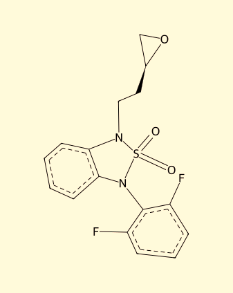 O=S1(=O)N(CC[C@H]2CO2)c2ccccc2N1c1c(F)cccc1F